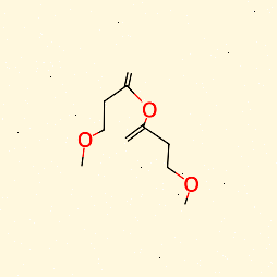 C=C(CCOC)OC(=C)CCOC